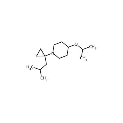 CC(C)CC1(N2CCC(OC(C)C)CC2)CC1